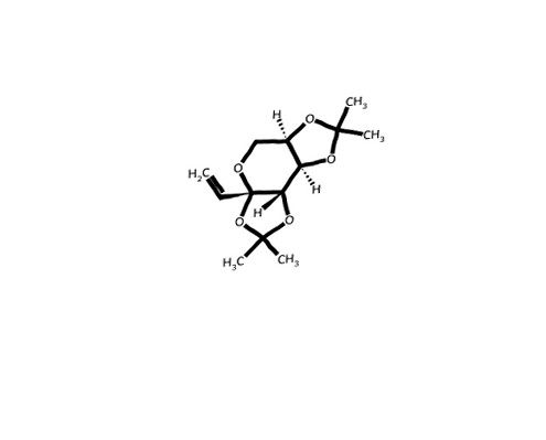 C=C[C@@]12OC[C@H]3OC(C)(C)O[C@H]3[C@@H]1OC(C)(C)O2